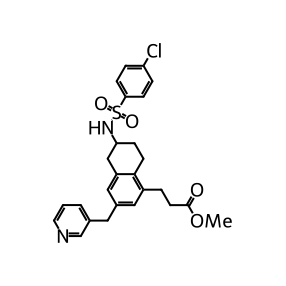 COC(=O)CCc1cc(Cc2cccnc2)cc2c1CCC(NS(=O)(=O)c1ccc(Cl)cc1)C2